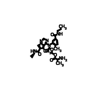 CCCNC(=O)c1ccc(C)c(N(C(=O)OCOC(=O)C(C)N)c2ncnn3cc(C(=O)NC4CC4)c(C)c23)c1